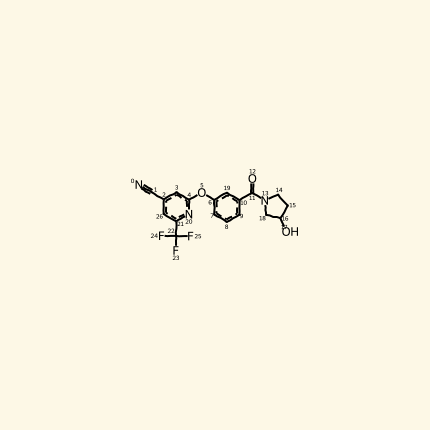 N#Cc1cc(Oc2cccc(C(=O)N3CCC(O)C3)c2)nc(C(F)(F)F)c1